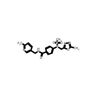 Cc1nnc(CN(c2ccc(C(=O)NCc3ccc(C(F)(F)F)nc3)cc2)S(C)(=O)=O)o1